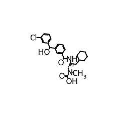 CN(C[C@@H](CC1CCCCC1)NC(=O)c1cccc(C(O)c2cccc(Cl)c2)c1)C(=O)O